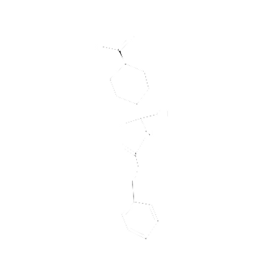 CC(C)(NC(=O)OCc1ccccc1)[C@H]1CC[C@H](C(=O)Cl)CC1